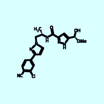 CO[C@@H](O)c1cc(C(=O)N[C@@H](C)Cn2ccc(-c3ccc(C#N)c(Cl)c3)n2)n[nH]1